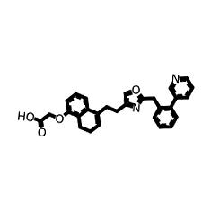 O=C(O)COc1cccc2c1CCC=C2CCc1coc(Cc2ccccc2-c2cccnc2)n1